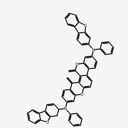 C=C1c2ccc(N(c3ccccc3)C3C=Cc4c(oc5ccccc45)C3)cc2Oc2ccc3c(c21)C(=C)Oc1cc(N(c2ccccc2)c2ccc4c(c2)oc2ccccc24)ccc1-3